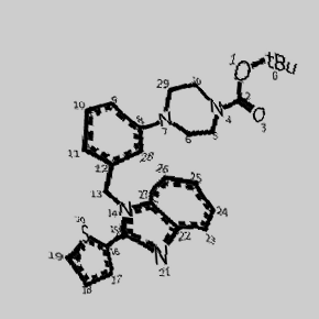 CC(C)(C)OC(=O)N1CCN(c2cccc(Cn3c(-c4cccs4)nc4ccccc43)c2)CC1